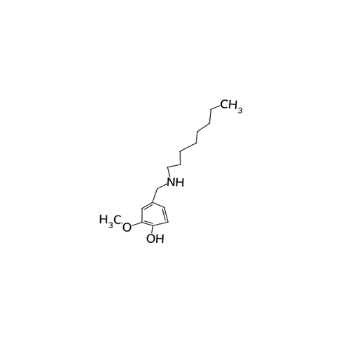 CCCCCCCCNCc1ccc(O)c(OC)c1